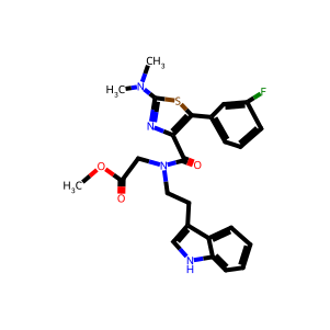 COC(=O)CN(CCc1c[nH]c2ccccc12)C(=O)c1nc(N(C)C)sc1-c1cccc(F)c1